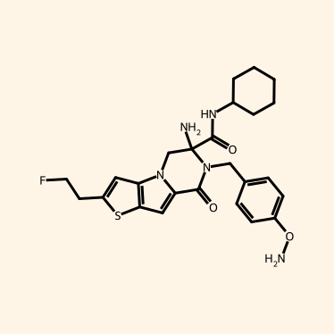 NOc1ccc(CN2C(=O)c3cc4sc(CCF)cc4n3CC2(N)C(=O)NC2CCCCC2)cc1